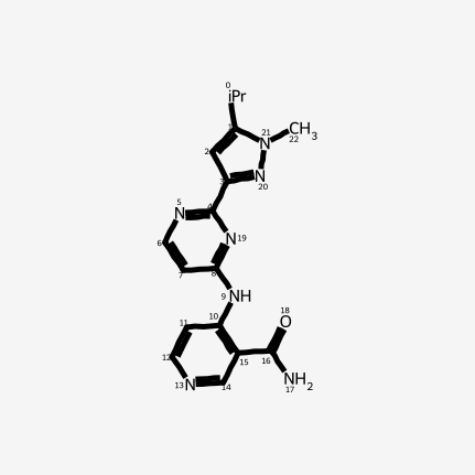 CC(C)c1cc(-c2nccc(Nc3ccncc3C(N)=O)n2)nn1C